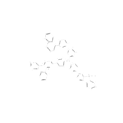 CC1(C)c2ccccc2-c2ccc(-c3ccc(N(c4ccc(-c5ccc6c7ccccc7c7ccccc7c6c5)cc4)c4cccc(-c5cccc(-c6cccc7ccccc67)c5)c4)cc3)cc21